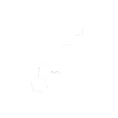 BCCCCCCN1C(=O)c2ccccc2C1=O